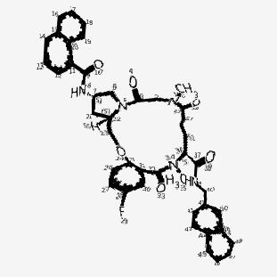 CN1CC(=O)N2C[C@@H](NC(=O)c3cccc4ccccc34)C[C@H]2COc2ccc(F)cc2C(=O)N(C)[C@H](C(=O)NCc2ccc3ccccc3c2)CCC1=O